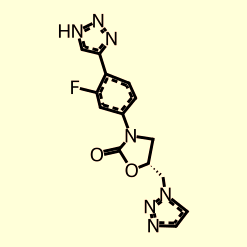 O=C1O[C@@H](Cn2ccnn2)CN1c1ccc(-c2c[nH]nn2)c(F)c1